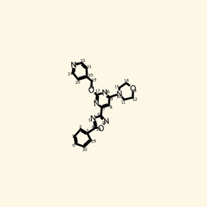 c1ccc(-c2nc(-c3cc(N4CCOCC4)nc(OCc4ccncc4)n3)no2)cc1